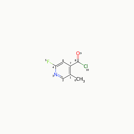 Cc1cnc(F)cc1C(=O)Cl